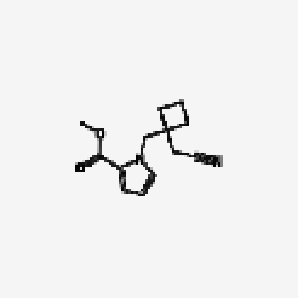 COC(=O)c1cccn1CC1(CC#N)CCC1